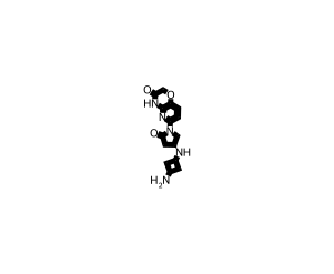 NC1CC(N[C@@H]2CC(=O)N(c3ccc4c(n3)NC(=O)CO4)C2)C1